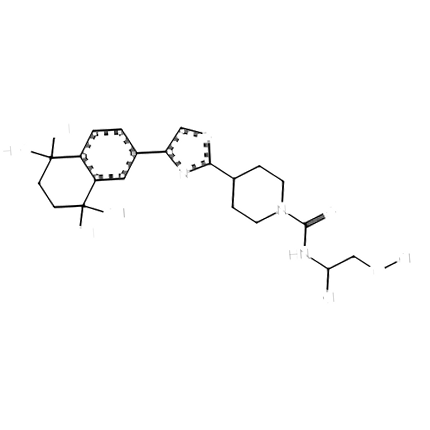 COCC(C)NC(=O)N1CCC(c2nc(-c3ccc4c(c3)C(C)(C)CCC4(C)C)cs2)CC1